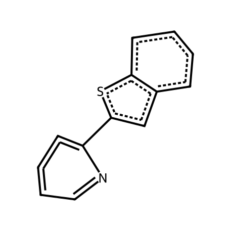 C1=C=C(c2cc3ccccc3s2)N=CC=1